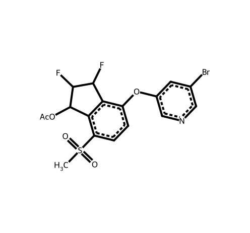 CC(=O)OC1c2c(S(C)(=O)=O)ccc(Oc3cncc(Br)c3)c2C(F)C1F